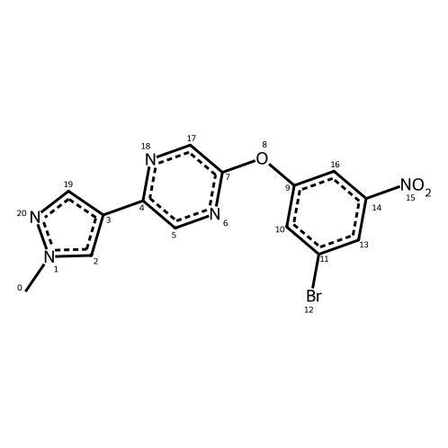 Cn1cc(-c2cnc(Oc3cc(Br)cc([N+](=O)[O-])c3)cn2)cn1